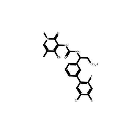 Cc1cn(C)c(=O)c(NC(=O)NC(CC(=O)O)c2cccc(-c3cc(Cl)c(F)cc3F)c2)c1O